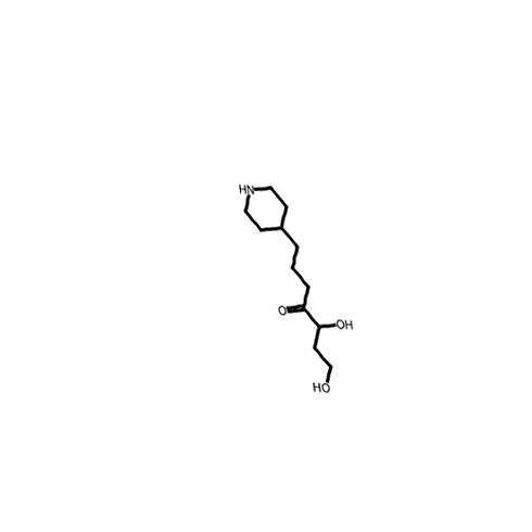 O=C(CCCC1CCNCC1)C(O)CCO